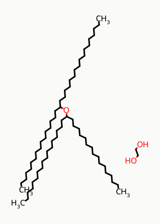 CCCCCCCCCCCCCCCCCC(CCCCCCCCCCCCCCCC)OC(CCCCCCCCCCCCCCCC)CCCCCCCCCCCCCCCCC.OCCO